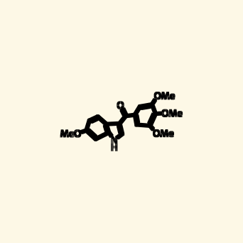 COc1ccc2c(C(=O)c3cc(OC)c(OC)c(OC)c3)c[nH]c2c1